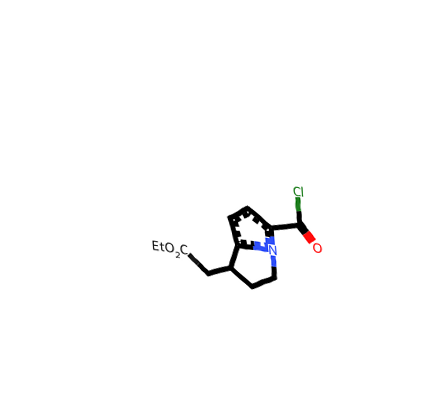 CCOC(=O)CC1CCn2c(C(=O)Cl)ccc21